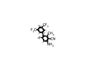 Cc1c(C#N)c(N)cc(F)c1-c1cc(C(F)(F)F)cc(C(F)(F)F)c1